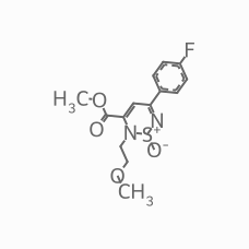 COCCN1C(C(=O)OC)=CC(c2ccc(F)cc2)=N[S+]1[O-]